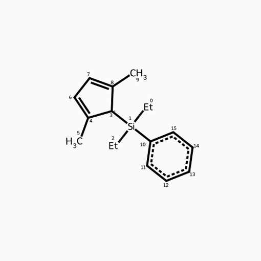 CC[Si](CC)([C]1C(C)=CC=C1C)c1ccccc1